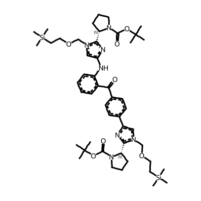 CC(C)(C)OC(=O)N1CCC[C@H]1c1nc(Nc2ccccc2C(=O)c2ccc(-c3cn(COCC[Si](C)(C)C)c([C@@H]4CCCN4C(=O)OC(C)(C)C)n3)cc2)cn1COCC[Si](C)(C)C